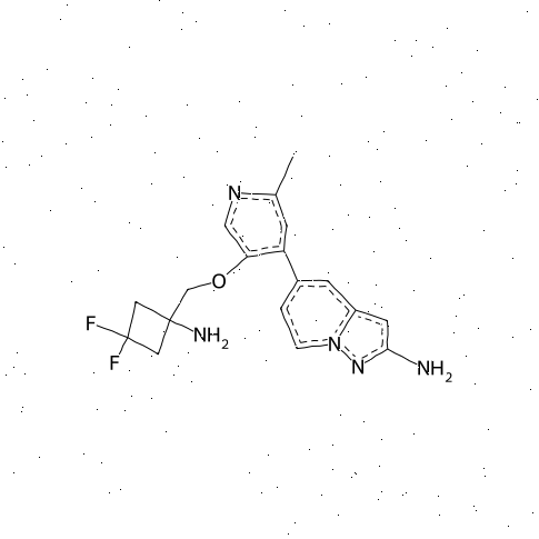 Cc1cc(-c2ccn3nc(N)cc3c2)c(OCC2(N)CC(F)(F)C2)cn1